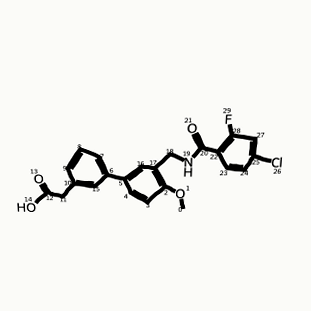 COc1ccc(-c2cccc(CC(=O)O)c2)cc1CNC(=O)c1ccc(Cl)cc1F